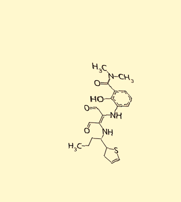 CCCC(N/C(C=O)=C(/C=O)Nc1cccc(C(=O)N(C)C)c1O)C1CC=CS1